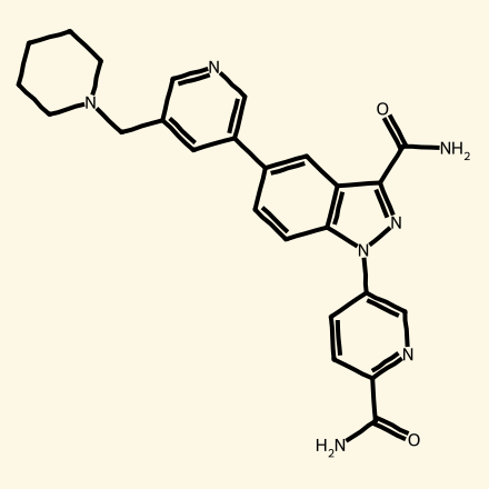 NC(=O)c1ccc(-n2nc(C(N)=O)c3cc(-c4cncc(CN5CCCCC5)c4)ccc32)cn1